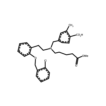 COC(=O)CCCCN(CCc1ccccc1OCc1ccccc1Cl)Cc1ccc(C(=O)O)c(C)c1